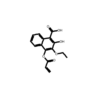 C=CC(=O)Oc1c(OCC)c(O)c(C(=O)O)c2ccccc12